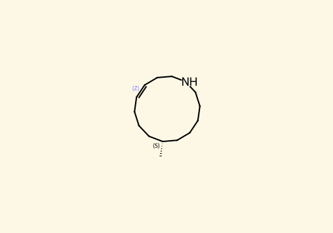 C[C@@H]1CCC/C=C\CCNCCCCC1